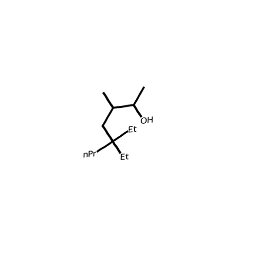 CCCC(CC)(CC)CC(C)C(C)O